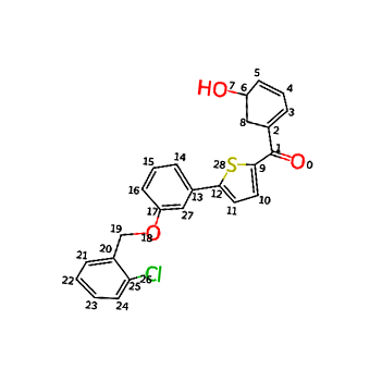 O=C(C1=CC=CC(O)C1)c1ccc(-c2cccc(OCc3ccccc3Cl)c2)s1